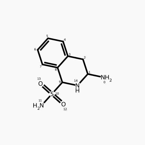 NC1Cc2ccccc2C(S(N)(=O)=O)N1